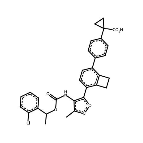 Cc1noc(-c2ccc(-c3ccc(C4(C(=O)O)CC4)cc3)c3c2CC3)c1NC(=O)OC(C)c1ccccc1Cl